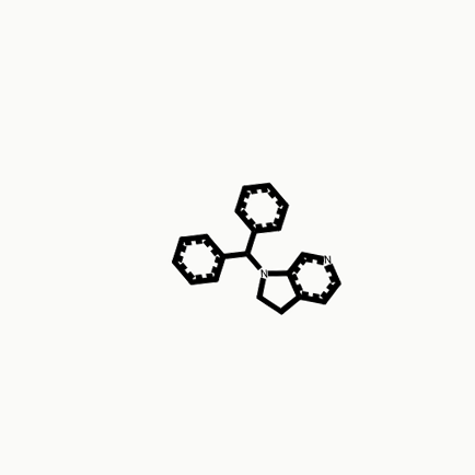 c1ccc(C(c2ccccc2)N2CCc3ccncc32)cc1